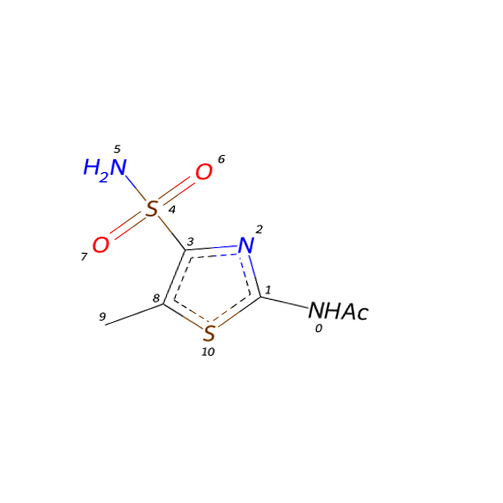 CC(=O)Nc1nc(S(N)(=O)=O)c(C)s1